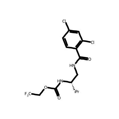 CC(C)[C@@H](CNC(=O)c1ccc(Cl)cc1Cl)NC(=O)OCC(F)(F)F